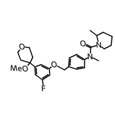 COC1(c2cc(F)cc(OCc3ccc(N(C)C(=O)N4CCCCC4C)cc3)c2)CCOCC1